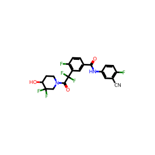 N#Cc1cc(NC(=O)c2ccc(F)c(C(F)(F)C(=O)N3CCC(O)C(F)(F)C3)c2)ccc1F